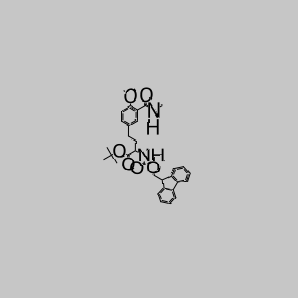 CNC(=O)c1cc(CCC(NC(=O)OCC2c3ccccc3-c3ccccc32)C(=O)OC(C)(C)C)ccc1OC